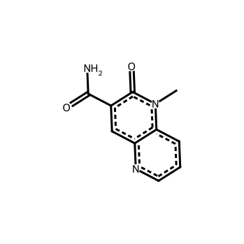 Cn1c(=O)c(C(N)=O)cc2ncccc21